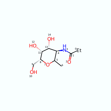 CCC(=O)N[C@H]1C(C)O[C@H](CO)[C@H](O)[C@@H]1O